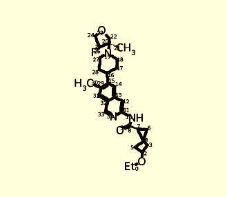 CCOC1CC2(C1)C[C@@H]2C(=O)Nc1cc2cc(C3CCN([C@]4(C)COC[C@@H]4F)CC3)c(C)cc2cn1